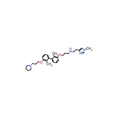 Cc1c(OCCCNCCc2cn(C)cn2)cccc1-c1cccc(OCCCN2CCCC2)c1C